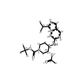 CC(=O)O[C@@H]1CN(C(=O)OC(C)(C)C)CC[C@H]1Nc1ncc2cnc(C(C)C)n2n1